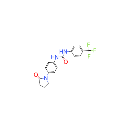 O=C(Nc1ccc(N2CCCC2=O)cc1)Nc1ccc(C(F)(F)F)cc1